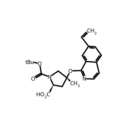 C=Cc1ccc2ccnc(O[C@]3(C)C[C@@H](C(=O)O)N(C(=O)OC(C)(C)C)C3)c2c1